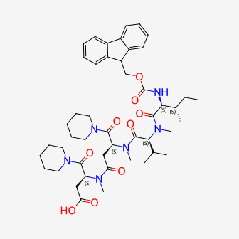 CC[C@H](C)[C@H](NC(=O)OCC1c2ccccc2-c2ccccc21)C(=O)N(C)[C@H](C(=O)N(C)[C@@H](CC(=O)N(C)[C@@H](CC(=O)O)C(=O)N1CCCCC1)C(=O)N1CCCCC1)C(C)C